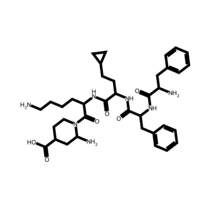 NCCCCC(NC(=O)C(CCC1CC1)NC(=O)C(Cc1ccccc1)NC(=O)C(N)Cc1ccccc1)C(=O)N1CCC(C(=O)O)CC1N